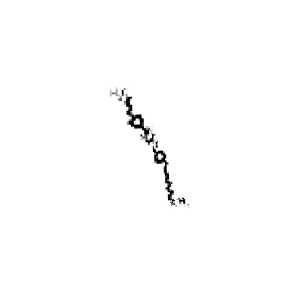 CCCCCCCCCc1ccc(COc2cnc(-c3ccc(CCCCC)cc3)nc2)cc1